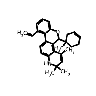 C=Cc1cccc2c1-c1ccc3c(c1C(C1(C)CC=CCC1)O2)C(C)=CC(C)(C)N3